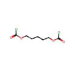 O=C(Cl)OCCCCCOC(=O)Cl